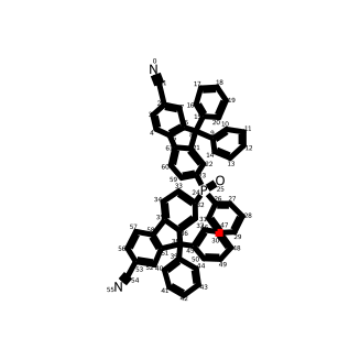 N#Cc1ccc2c(c1)C(c1ccccc1)(c1ccccc1)c1cc(P(=O)(c3ccccc3)c3ccc4c(c3)C(c3ccccc3)(c3ccccc3)c3cc(C#N)ccc3-4)ccc1-2